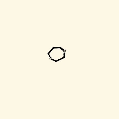 C1C[N]CC[N]C1